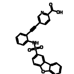 O=C(O)c1ccc(C#Cc2ccccc2NS(=O)(=O)c2ccc3oc4ccccc4c3c2)cn1